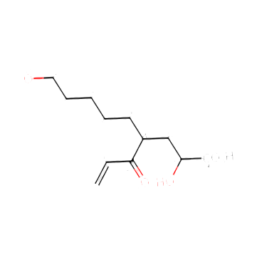 C=CC(=O)C(CCCCC[O])CC(O)C(=O)O